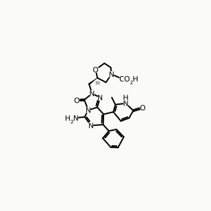 Cc1[nH]c(=O)ccc1-c1c(-c2ccccc2)nc(N)n2c(=O)n(C[C@@H]3CN(C(=O)O)CCO3)nc12